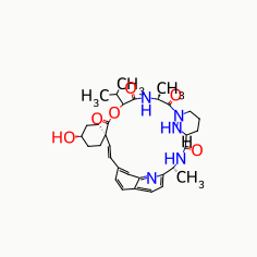 CC(C)C1OC(=O)[C@]2(/C=C/c3ccc4ccc(nc4c3)[C@@H](C)NC(=O)[C@@H]3CCCN(N3)C(=O)[C@H](C)NC1=O)CC[C@H](O)CC2